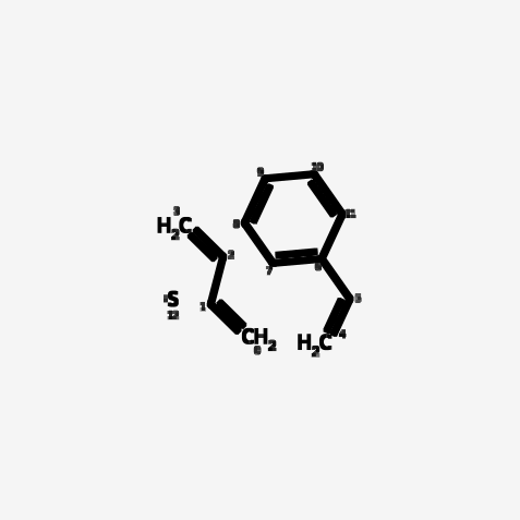 C=CC=C.C=Cc1ccccc1.[S]